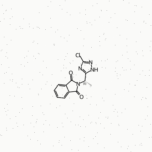 C[C@@H](c1nc(Cl)n[nH]1)N1C(=O)c2ccccc2C1=O